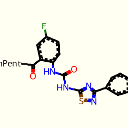 CCCCCC(=O)c1cc(F)ccc1NC(=O)Nc1nc(-c2ccccc2)ns1